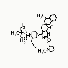 CC1C[C@]2(CCc3c(nc(OC[C@@H]4CCCN4C)nc3N3CCN(C(=O)OC(C)(C)C)[C@@H](CC#N)C3)C2=O)Cc2ccccc21